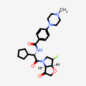 CN1CCN(c2ccc(C(=O)N[C@H](C(=O)N3C[C@@H](F)[C@H]4OCC(=O)[C@H]43)C3CCCC3)cc2)CC1